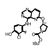 CC(C)(C)OC(=O)N1CC[C@H](Oc2ccc3ncnc(Nc4ccc(O)c(Cl)c4F)c3n2)C1